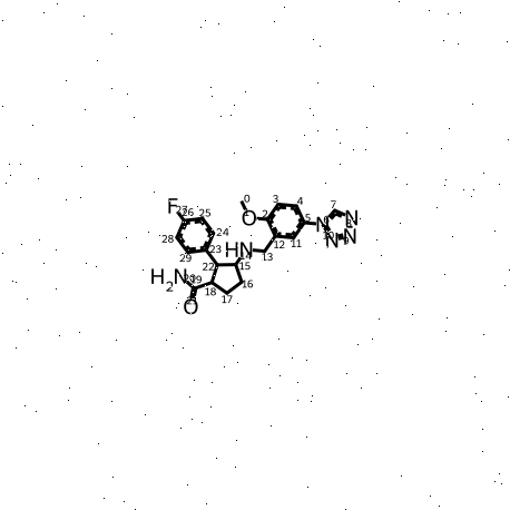 COc1ccc(-n2cnnn2)cc1CNC1CCC(C(N)=O)C1c1ccc(F)cc1